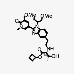 COCC(COC)n1c(-c2cc(C)c(=O)n(C)c2)nc2cc(CCN[C@H](C(=O)OC3CCC3)[C@@H](C)O)ccc21